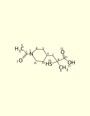 CC(=O)N1CCC(CC(C)(S)C(=O)O)CC1